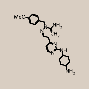 C=C(N)N(Cc1ccc(OC)cc1)/N=C\Cc1ccnc(NC2CCC(N)CC2)n1